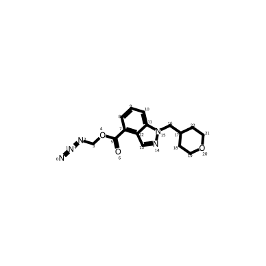 [N-]=[N+]=NCOC(=O)c1cccc2c1cnn2CC1CCOCC1